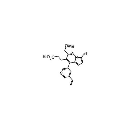 C=Cc1cncc(-c2c(CCC(=O)OCC)c(COC)nn3c(CC)ccc23)c1